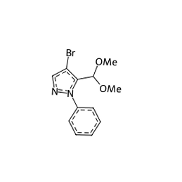 COC(OC)c1c(Br)cnn1-c1ccccc1